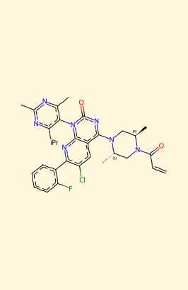 C=CC(=O)N1C[C@H](C)N(c2nc(=O)n(-c3c(C)nc(C)nc3C(C)C)c3nc(-c4ccccc4F)c(Cl)cc23)C[C@H]1C